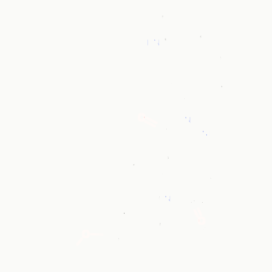 CCOCCCn1c(C)c2c(=O)n(-c3cccc(NC)c3)[nH]c2cc1=O